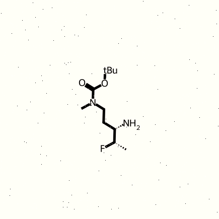 C[C@H](F)[C@@H](N)CCN(C)C(=O)OC(C)(C)C